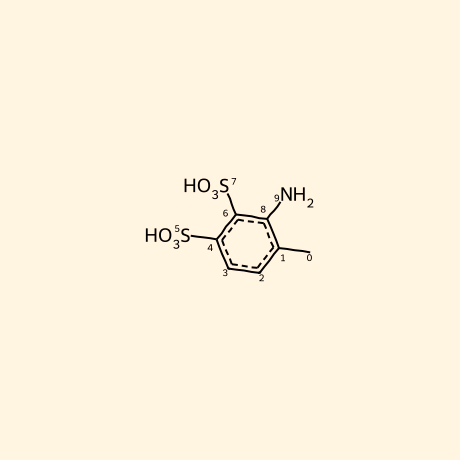 Cc1ccc(S(=O)(=O)O)c(S(=O)(=O)O)c1N